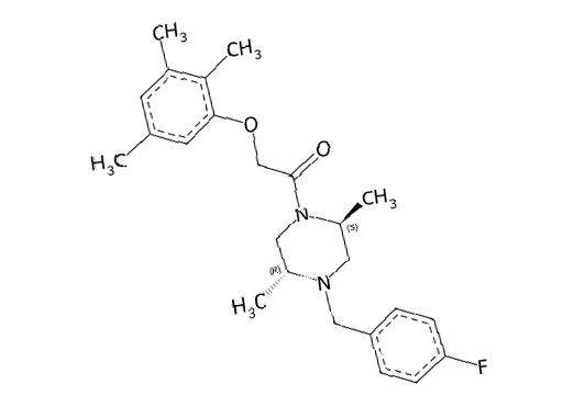 Cc1cc(C)c(C)c(OCC(=O)N2C[C@@H](C)N(Cc3ccc(F)cc3)C[C@@H]2C)c1